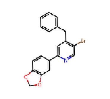 Brc1cnc(-c2ccc3c(c2)OCO3)cc1Cc1ccccc1